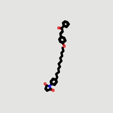 O=C(/C=C/c1ccc(OCCCCCCCCCCCCc2ccc(N3C(=O)C=CC3=O)cc2)cc1)c1ccccc1